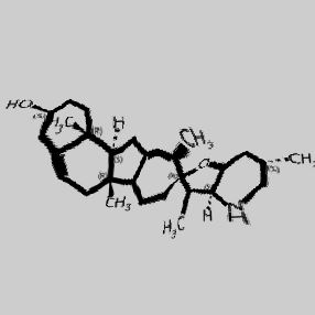 CC1=C2C[C@@H]3[C@@]4(C)CC[C@H](O)CC4=CC[C@@]3(C)C2CC[C@]12OC1C[C@H](C)CN[C@H]1C2C